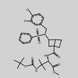 COC(=O)[C@H](NC(=O)C12CCC1C(N(Cc1ccc(Cl)c(F)c1)S(=O)(=O)c1ccccc1)C2)C(C)(C)NC(=O)OC(C)(C)C